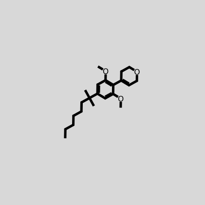 CCCCCCC(C)(C)c1cc(OC)c(C2=CCOCC2)c(OC)c1